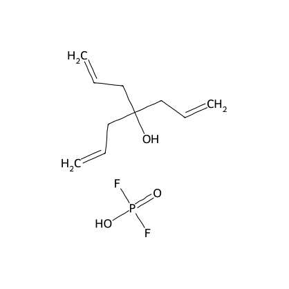 C=CCC(O)(CC=C)CC=C.O=P(O)(F)F